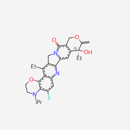 C=C1OCc2c(cc3n(c2=O)Cc2c-3nc3cc(F)c4c(c3c2CC)OCCN4C(C)C)[C@@]1(O)CC